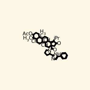 CC(=O)OC1CCC2(C)C(CCC3(C)C2CCC2C4=C(C(C)C)C(=O)CC4(C(=O)N4CCCC4c4ncc(-c5ccccc5)[nH]4)CCC23C)C1(C)C